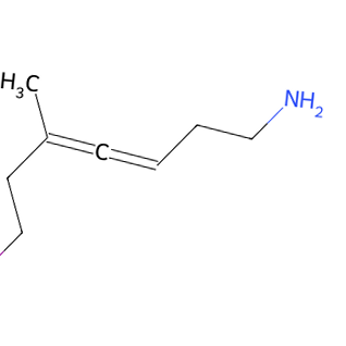 CC(=C=CCCN)CCI